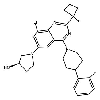 Cc1ccccc1C1CCN(c2nc(C3(F)CCC3)nc3c(Cl)cc(N4CC[C@@H](O)C4)cc23)CC1